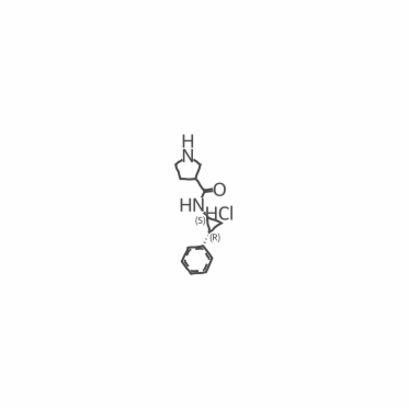 Cl.O=C(N[C@H]1C[C@@H]1c1ccccc1)C1CCNC1